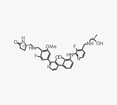 COc1cc(-c2nccc(-c3cccc(Nc4nccc(CNC[C@@H](C)O)c4F)c3Cl)c2Cl)cc(F)c1CNC[C@H]1CCC(=O)N1